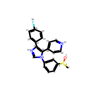 C[S+]([O-])c1cccc(-n2cnc(-c3ccc(F)cc3)c2-c2ccncc2)c1